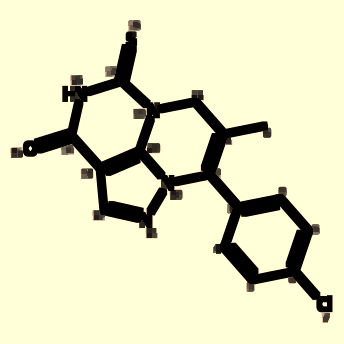 CC1=C(c2ccc(Cl)cc2)n2ncc3c(=O)[nH]c(=S)n(c32)C1